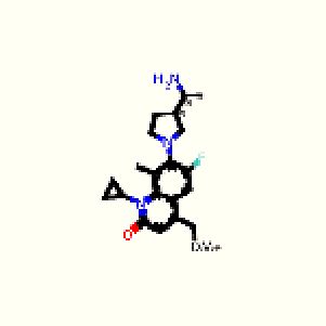 COCc1cc(=O)n(C2CC2)c2c(C)c(N3CC[C@@H]([C@H](C)N)C3)c(F)cc12